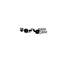 COc1ccc(CCN(C)CCOc2ccc(-n3ccnc3)cc2)cc1OC